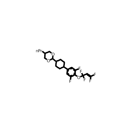 CCCC1COC(C2CCC(c3cc(F)c(OC(F)(F)C=C(F)F)c(F)c3)CC2)OC1